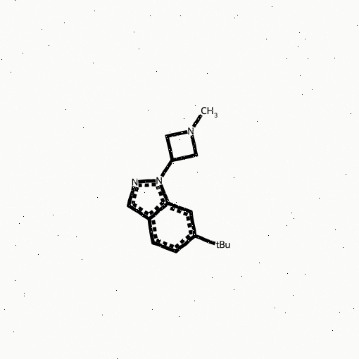 CN1CC(n2ncc3ccc(C(C)(C)C)cc32)C1